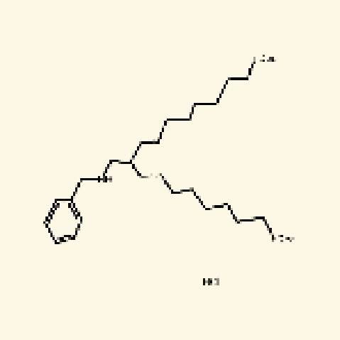 CCCCCCCCCCCCCCCCCCC(CCCCCCCCCCCCCCCCCC)CNCc1ccccc1.Cl